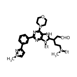 CCN(C)CCC(CC=O)C1Nc2c(N3CCOCC3)nc(-c3cccc(-c4ccn(C)n4)c3)nc2N1CC